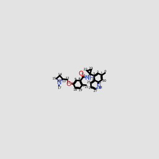 Cc1cc(C2(NC(=O)c3cc(OCC4CCN4C)ccc3C)CC2)c2cccnc2c1